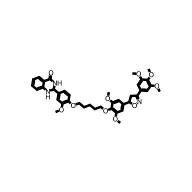 COc1cc(C2NC(=O)c3ccccc3N2)ccc1OCCCCCOc1c(OC)cc(C2CC(c3cc(OC)c(OC)c(OC)c3)=NO2)cc1OC